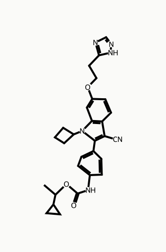 CC(OC(=O)Nc1ccc(-c2c(C#N)c3ccc(OCCc4ncn[nH]4)cc3n2C2CCC2)cc1)C1CC1